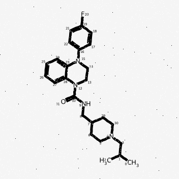 CC(C)CN1CCC(CNC(=O)N2CCN(c3ccc(F)cc3)c3ccccc32)CC1